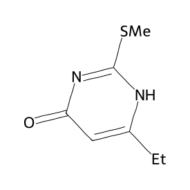 CCc1cc(=O)nc(SC)[nH]1